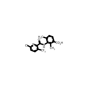 Cc1ccc(C(=O)O)c(C)c1NC(=O)c1nc(Cl)ccc1C(F)(F)F